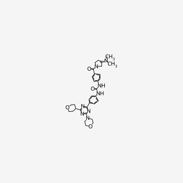 CN(C)[C@@H]1CCN(C(=O)c2ccc(NC(=O)Nc3ccc(-c4nc(C5CCOCC5)nc(N5CCOCC5)n4)cc3)cc2)C1